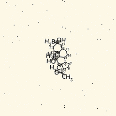 B[C@]1(O)C[C@@]2(C)C(CC[C@@H]2C(C)=O)C2CCC3=C[C@@](B)(O)CC[C@]3(C)C21